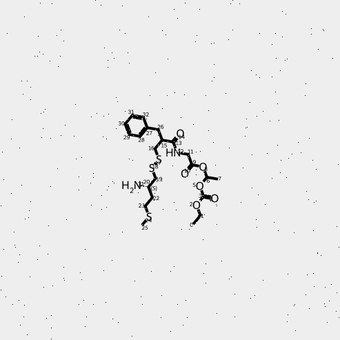 CCOC(=O)OC(C)OC(=O)CNC(=O)C(CSSC[C@@H](N)CCSC)Cc1ccccc1